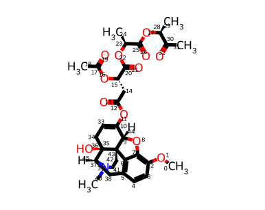 COc1ccc2c3c1O[C@H]1C(OC(=O)C[C@H](OC(C)=O)C(=O)O[C@@H](C)C(=O)O[C@@H](C)C(C)=O)=CC[C@@]4(O)[C@@H](C2)N(C)CC[C@]314